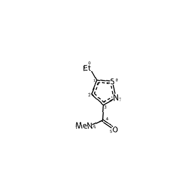 CCc1cc(C(=O)NC)ns1